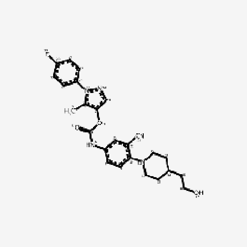 Cc1c(OC(=O)Nc2ccc(N3CCC(CCO)CC3)c(C#N)c2)cnn1-c1ccc(F)cc1